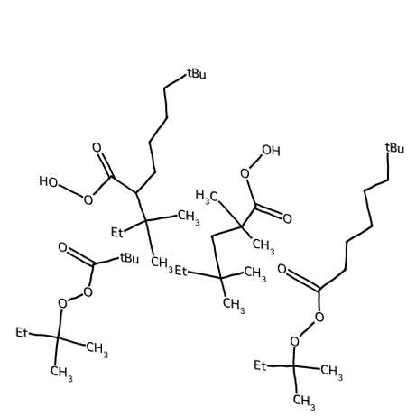 CCC(C)(C)C(CCCCC(C)(C)C)C(=O)OO.CCC(C)(C)CC(C)(C)C(=O)OO.CCC(C)(C)OOC(=O)C(C)(C)C.CCC(C)(C)OOC(=O)CCCCCC(C)(C)C